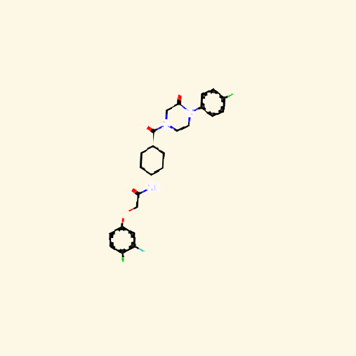 O=C(COc1ccc(Cl)c(F)c1)N[C@H]1CC[C@H](C(=O)N2CCN(c3ccc(Cl)cc3)C(=O)C2)CC1